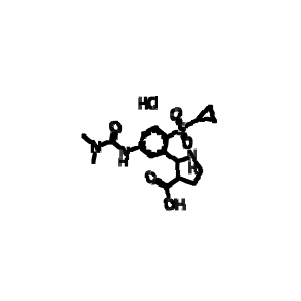 CN(C)C(=O)Nc1ccc(S(=O)(=O)C2CC2)c(C2NCCC2C(=O)O)c1.Cl